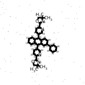 CC1(C)COC(c2ccc(-c3c4ccccc4c(-c4ccc(C5=NC(C)(C)CO5)nc4)c4cc(-c5ccccc5)ccc34)cn2)=N1